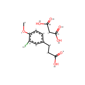 COc1ccc(CCC(=O)O)cc1F.O=C(O)CC(=O)O